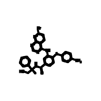 CC(C)c1ccc2c(Nc3cc(C(=O)N[C@](C)(CO)c4ccccc4)ccc3Sc3ccc(N)cc3)ncnc2n1